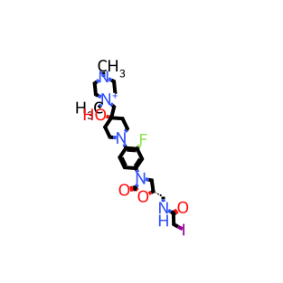 CN1CC[N+](C)(CC2(O)CCN(c3ccc(N4C[C@H](CNC(=O)CI)OC4=O)cc3F)CC2)CC1